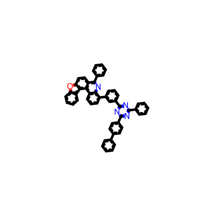 c1ccc(-c2ccc(-c3nc(-c4ccccc4)nc(-c4cccc(-c5cccc6c5nc(-c5ccccc5)c5ccc7oc8ccccc8c7c56)c4)n3)cc2)cc1